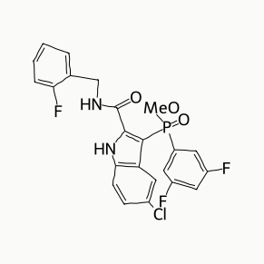 COP(=O)(c1cc(F)cc(F)c1)c1c(C(=O)NCc2ccccc2F)[nH]c2ccc(Cl)cc12